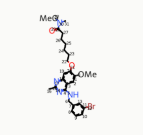 COc1cc2c(NCc3cccc(Br)c3)nc(C)nc2cc1OCCCCCCC(=O)N(C)OC